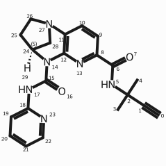 C#CC(C)(C)NC(=O)c1ccc2c(n1)N(C(=O)Nc1ccccn1)[C@H]1CCN2C1